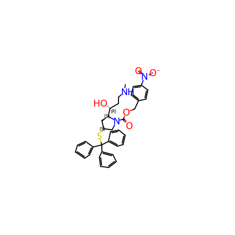 CNCC[C@@H](O)[C@@H]1C[C@H](SC(c2ccccc2)(c2ccccc2)c2ccccc2)CN1C(=O)OCc1ccc([N+](=O)[O-])cc1